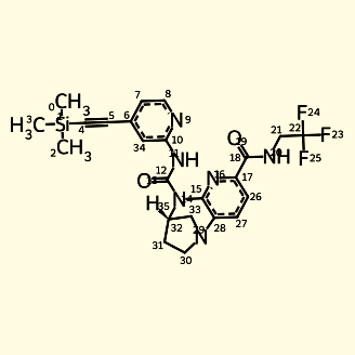 C[Si](C)(C)C#Cc1ccnc(NC(=O)N2c3nc(C(=O)NCC(F)(F)F)ccc3N3CC[C@H]2C3)c1